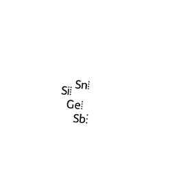 [Ge].[Sb].[Si].[Sn]